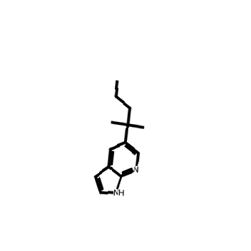 CCCC(C)(C)c1cnc2[nH]ccc2c1